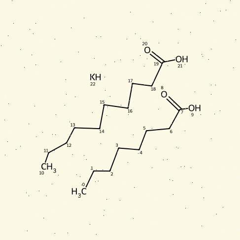 CCCCCCCC(=O)O.CCCCCCCCCC(=O)O.[KH]